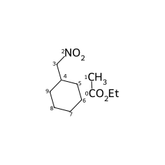 CCOC(C)=O.O=[N+]([O-])CC1CCCCC1